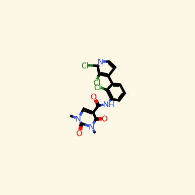 Cn1cc(C(=O)Nc2cccc(-c3ccnc(Cl)c3Cl)c2Cl)c(=O)n(C)c1=O